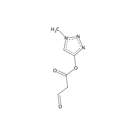 Cn1cc(OC(=O)CC=O)nn1